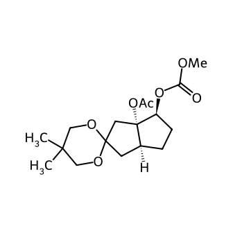 COC(=O)O[C@H]1CC[C@H]2CC3(C[C@]21OC(C)=O)OCC(C)(C)CO3